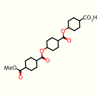 COC(=O)C1CCC(C(=O)OC2CCC(C(=O)OC3CCC(C(=O)O)CC3)CC2)CC1